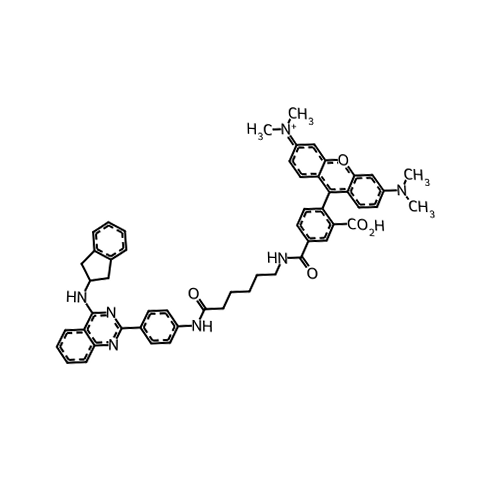 CN(C)c1ccc2c(-c3ccc(C(=O)NCCCCCC(=O)Nc4ccc(-c5nc(NC6Cc7ccccc7C6)c6ccccc6n5)cc4)cc3C(=O)O)c3ccc(=[N+](C)C)cc-3oc2c1